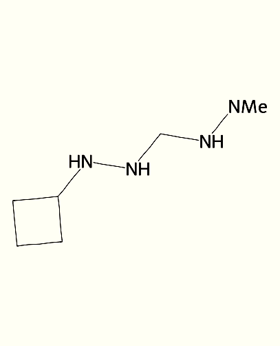 CNNCNNC1CCC1